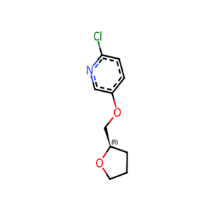 Clc1ccc(OC[C@H]2CCCO2)cn1